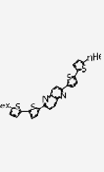 CCCCCCc1ccc(-c2ccc(-c3ccc4nc(-c5ccc(-c6ccc(CCCCCC)s6)s5)ccc4n3)s2)s1